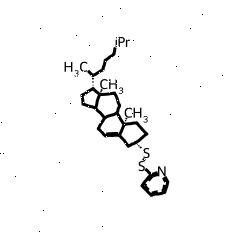 CC(C)CCCC(C)[C@H]1CCC2C3CC=C4C[C@@H](SSc5ccccn5)CC[C@]4(C)C3CC[C@@]21C